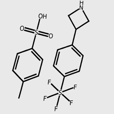 Cc1ccc(S(=O)(=O)O)cc1.FS(F)(F)(F)(F)c1ccc(C2CNC2)cc1